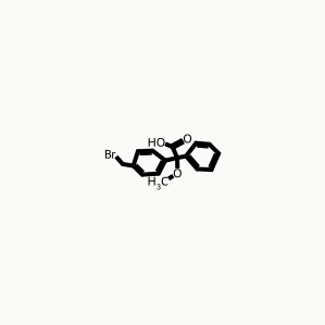 COC(C(=O)O)(c1ccccc1)c1ccc(CBr)cc1